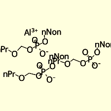 CCCCCCCCCOP(=O)([O-])OCOCCC.CCCCCCCCCOP(=O)([O-])OCOCCC.CCCCCCCCCOP(=O)([O-])OCOCCC.[Al+3]